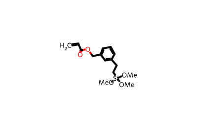 C=CC(=O)OCc1cccc(CC[Si](OC)(OC)OC)c1